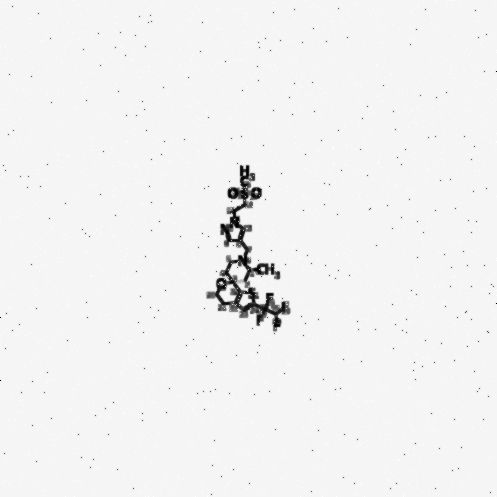 C[C@H]1C[C@@]2(CCN1Cc1cnn(CCS(C)(=O)=O)c1)OCCc1cc(C(F)(F)C(F)F)sc12